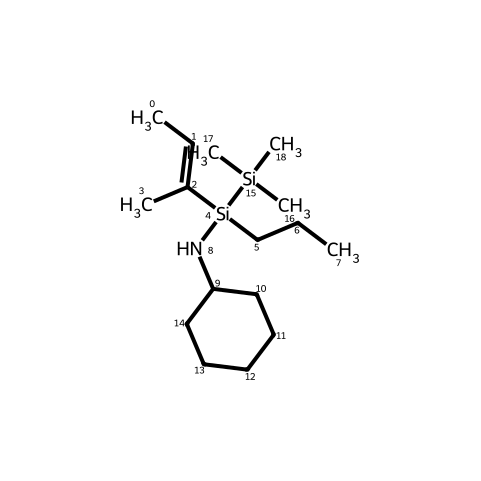 C/C=C(\C)[Si](CCC)(NC1CCCCC1)[Si](C)(C)C